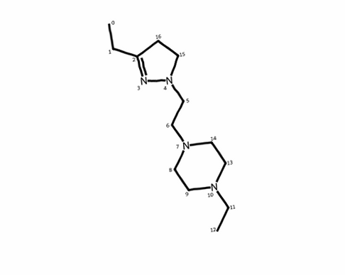 CCC1=NN(CCN2CCN(CC)CC2)CC1